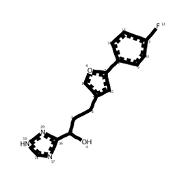 OC(CCc1coc(-c2ccc(F)cc2)c1)c1nc[nH]n1